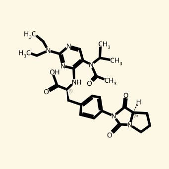 CCN(CC)c1ncc(N(C(C)=O)C(C)C)c(N[C@@H](Cc2ccc(N3C(=O)[C@H]4CCCN4C3=O)cc2)C(=O)O)n1